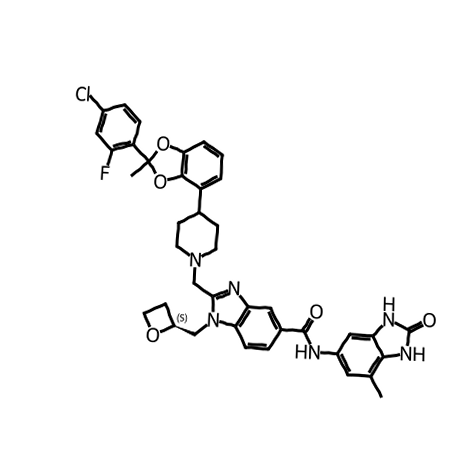 Cc1cc(NC(=O)c2ccc3c(c2)nc(CN2CCC(c4cccc5c4OC(C)(c4ccc(Cl)cc4F)O5)CC2)n3C[C@@H]2CCO2)cc2[nH]c(=O)[nH]c12